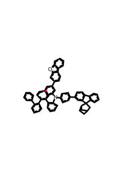 c1ccc(-c2ccccc2-c2ccccc2-c2ccccc2N(c2ccc(-c3ccc4c(c3)C3(CC5CCC3C5)c3ccccc3-4)cc2)c2cccc(-c3ccc4c(c3)oc3ccccc34)c2)cc1